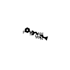 O=C(Cc1cnn(-c2cccc(F)c2)c1)Nc1cc(C2CC2)n[nH]1